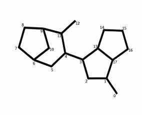 CC1CC(C2CC3CCC(C3)C2C)C2CCCC12